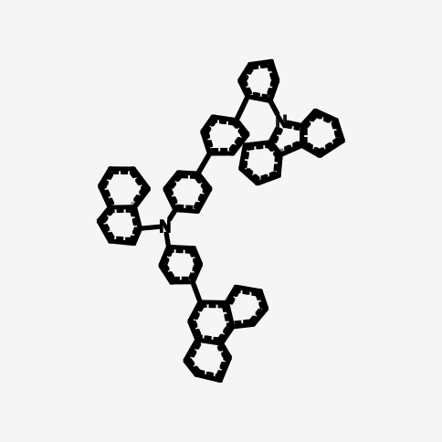 c1ccc(-n2c3ccccc3c3ccccc32)c(-c2ccc(-c3ccc(N(c4ccc(-c5cc6ccccc6c6ccccc56)cc4)c4cccc5ccccc45)cc3)cc2)c1